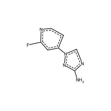 Nc1ncn(-c2ccnc(F)c2)n1